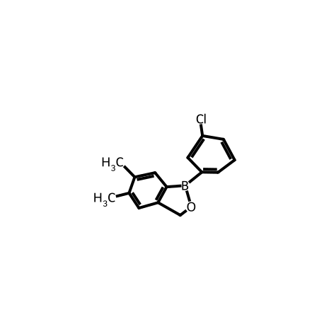 Cc1cc2c(cc1C)B(c1cccc(Cl)c1)OC2